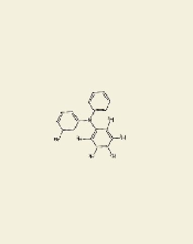 [2H]c1c([2H])c([2H])c(N(c2ccccc2)c2cccc(Br)c2)c([2H])c1[2H]